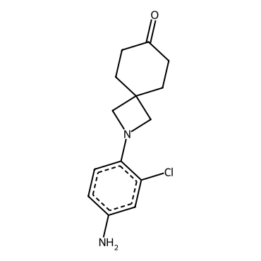 Nc1ccc(N2CC3(CCC(=O)CC3)C2)c(Cl)c1